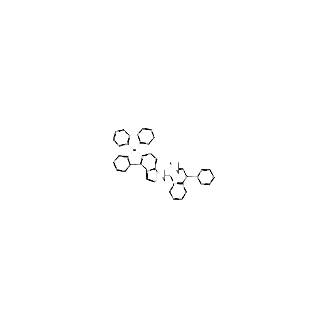 c1ccc(-c2cnc(-n3ccc4c5c(ccc43)C(c3ccccc3)(c3ccccc3)c3ccccc3-5)c3ccccc23)cc1